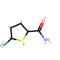 NC(=O)C1CCC(Cl)S1